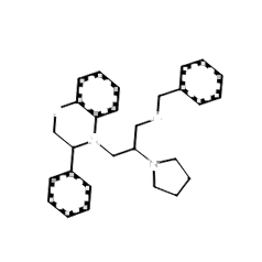 c1ccc(COCC(CN2c3ccccc3SCC2c2ccccc2)N2CCCC2)cc1